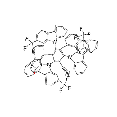 N#Cc1c(-n2c3ccccc3c3ccc(C(F)(F)F)cc32)c(-c2cccc3c2sc2ccccc23)c(-n2c3ccccc3c3ccc(C(F)(F)F)cc32)c(-c2cccc3c2sc2ccccc23)c1-n1c2ccccc2c2ccc(C(F)(F)F)cc21